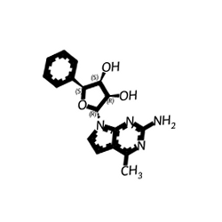 Cc1nc(N)nc2c1ccn2[C@@H]1O[C@@H](c2ccccc2)[C@@H](O)[C@H]1O